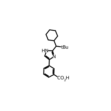 CC(C)(C)C(c1nc(-c2cccc(C(=O)O)c2)c[nH]1)C1CCCCC1